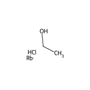 CCO.Cl.[Rb]